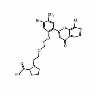 Cc1cc(-c2cc(=O)c3cccc(Cl)c3o2)c(OCCOCCN2CCCC2C(=O)O)cc1Br